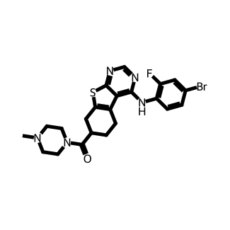 CN1CCN(C(=O)C2CCc3c(sc4ncnc(Nc5ccc(Br)cc5F)c34)C2)CC1